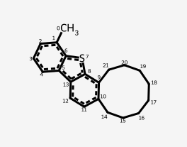 Cc1cccc2c1sc1c3c(ccc12)CCCCCCCC3